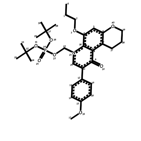 CCCOc1cc2c(c3c(=O)c(-c4ccc(OC)cc4)cn(COP(=O)(OC(C)(C)C)OC(C)(C)C)c13)CCCO2